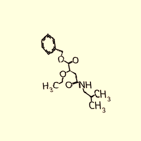 CCO[C@H](CC(=O)NCC(C)C)C(=O)OCc1ccccc1